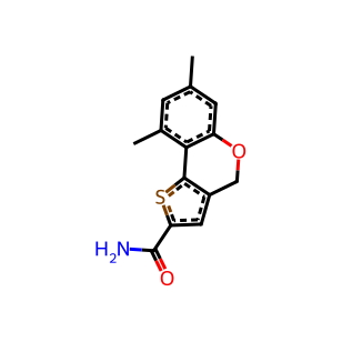 Cc1cc(C)c2c(c1)OCc1cc(C(N)=O)sc1-2